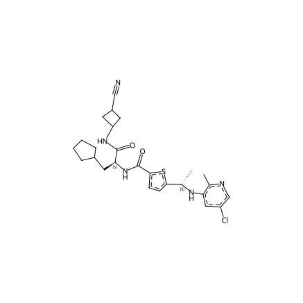 Cc1ncc(Cl)cc1N[C@@H](C)c1ccc(C(=O)N[C@@H](CC2CCCC2)C(=O)NC2CC(C#N)C2)s1